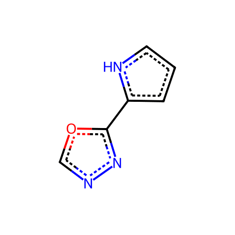 c1c[nH]c(-c2nnco2)c1